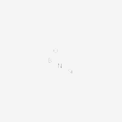 [B].[N].[O].[Si]